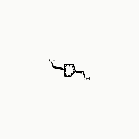 OC=c1ccc(=CO)cc1